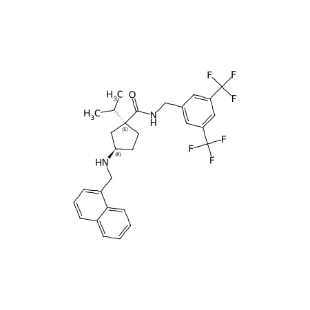 CC(C)[C@]1(C(=O)NCc2cc(C(F)(F)F)cc(C(F)(F)F)c2)CC[C@@H](NCc2cccc3ccccc23)C1